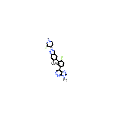 CCn1cnc2c(-c3ccc(F)c(-c4cc5cn([C@H]6CCN(C)C[C@@H]6F)nc5cc4OC)c3)cnnc21